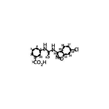 O=C(O)c1cccc(NC(=S)Nc2noc3cc(Cl)ccc23)c1